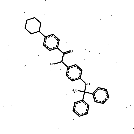 CC(Nc1ccc(C(O)C(=O)c2ccc(C3CCCCC3)cc2)cc1)(c1ccccc1)c1ccccc1